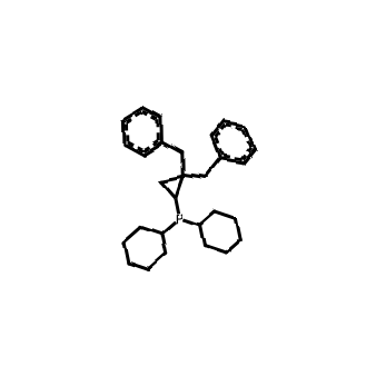 c1ccc(CC2(Cc3ccccc3)CC2P(C2CCCCC2)C2CCCCC2)cc1